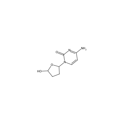 Nc1ccn(C2CCC(O)O2)c(=O)n1